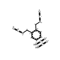 N=C=O.N=C=O.O=C=NCc1ccccc1CN=C=O